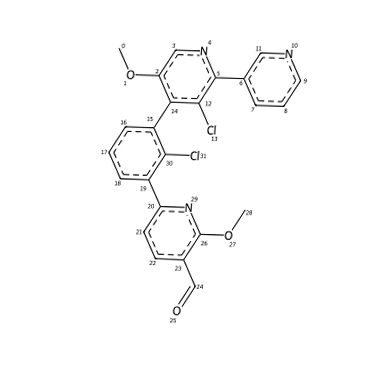 COc1cnc(-c2cccnc2)c(Cl)c1-c1cccc(-c2ccc(C=O)c(OC)n2)c1Cl